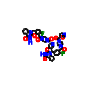 O=C(c1ccc(C(c2ccc(F)c(C(=O)N3CCN(C(=O)c4ccno4)CC3)c2)n2c(=O)[nH]c(=O)c3ccccc32)cn1)N1CCN(C(=O)c2cc(Cn3c(=O)[nH]c(=O)c4ccccc43)ccc2F)CC1